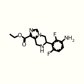 CCOC(=O)c1ncn2c1CNC(c1c(F)ccc(N)c1F)C2